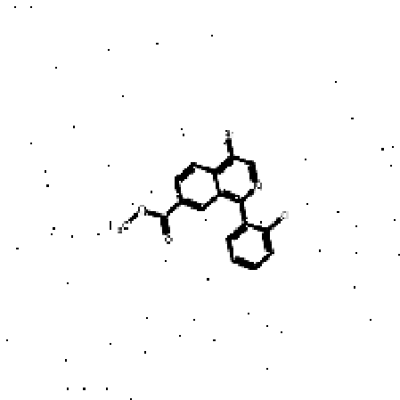 COC(=O)c1ccc2c(Br)cnc(-c3ccccc3Cl)c2c1